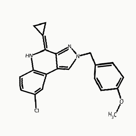 COc1ccc(Cn2cc3c(n2)C(=C2CC2)Nc2ccc(Cl)cc2-3)cc1